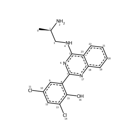 C[C@@H](N)CNc1nc(-c2cc(Cl)cc(Cl)c2O)nc2ccccc12